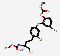 CCCC[C@@](CO)(CCc1ccc(Sc2cc(C(F)(F)F)ccc2OC(=O)OC(C)(C)C)cc1Cl)NC(=O)OC(C)(C)C